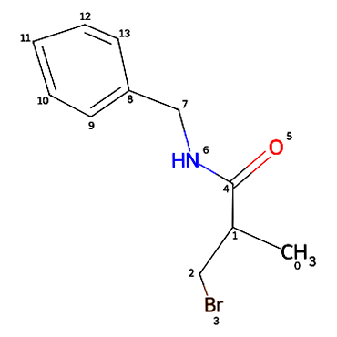 CC(CBr)C(=O)NCc1ccccc1